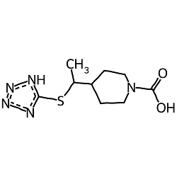 CC(Sc1nnn[nH]1)C1CCN(C(=O)O)CC1